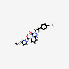 Cc1ccc(C(F)(F)Cn2nc3n(c2=O)[C@H](C(=O)N2CC[C@H](C)C2)CCC3)cc1